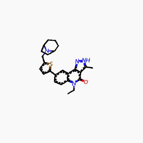 CCn1c(=O)c2c(C)[nH]nc2c2cc(-c3ccc(CN4C5CCCC4CC5)s3)ccc21